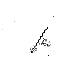 CCCCCCCCCCCCOS(=O)(=O)O.NCC(=O)[O-].[Na+]